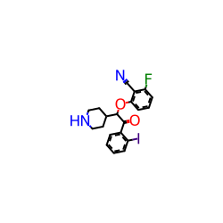 N#Cc1c(F)cccc1OC(C(=O)c1ccccc1I)C1CCNCC1